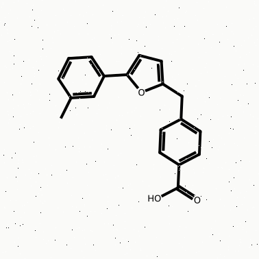 Cc1cccc(-c2ccc(Cc3ccc(C(=O)O)cc3)o2)c1